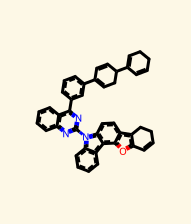 C1=CC(C2C=CC(c3cccc(-c4nc(-n5c6ccccc6c6c7oc8c(c7ccc65)CCC=C8)nc5ccccc45)c3)=CC2)=CCC1